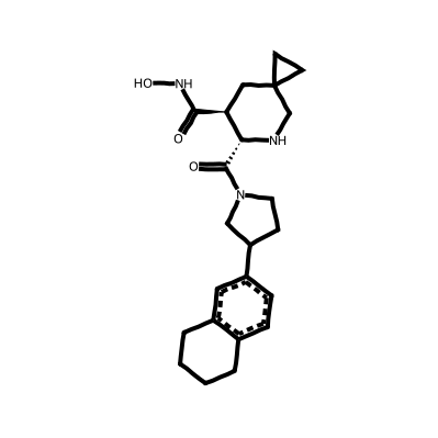 O=C(NO)[C@H]1CC2(CC2)CN[C@@H]1C(=O)N1CCC(c2ccc3c(c2)CCCC3)C1